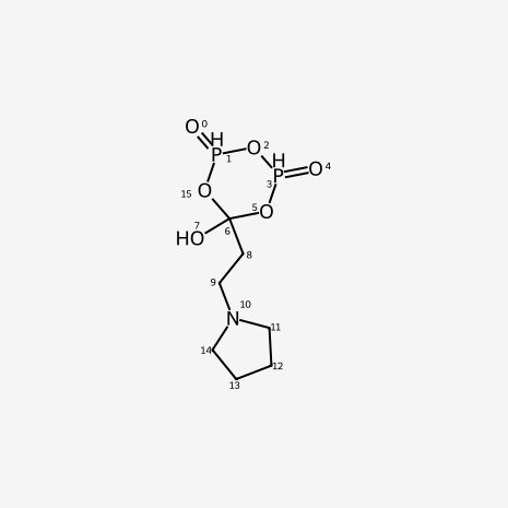 O=[PH]1O[PH](=O)OC(O)(CCN2CCCC2)O1